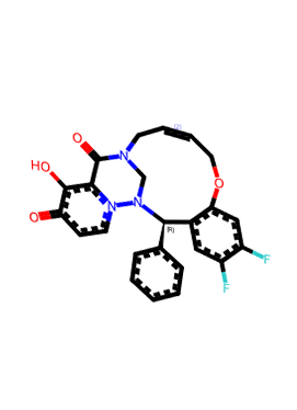 O=C1c2c(O)c(=O)ccn2N2CN1C/C=C\COc1cc(F)c(F)cc1[C@H]2c1ccccc1